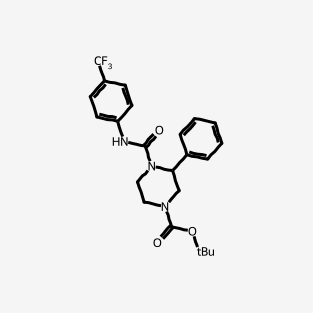 CC(C)(C)OC(=O)N1CCN(C(=O)Nc2ccc(C(F)(F)F)cc2)C(c2ccccc2)C1